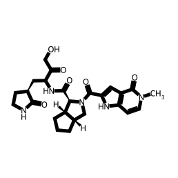 Cn1ccc2[nH]c(C(=O)N3C[C@@H]4CCC[C@@H]4[C@H]3C(=O)NC(C[C@@H]3CCNC3=O)C(=O)CO)cc2c1=O